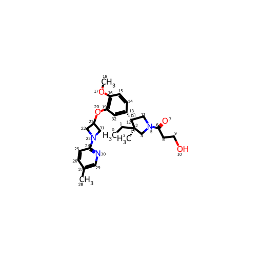 CC[C@]1(C)CN(C(=O)CCO)C[C@H]1c1ccc(OC)c(OC2CN(c3ccc(C)cn3)C2)c1